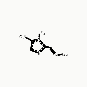 Cn1c([N+](=O)[O-])cnc1/C=N/C(C)(C)C